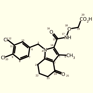 Cc1c2c(n(Cc3ccc(Cl)c(Cl)c3)c1C(=O)NOCC(=O)O)CCCC2=O